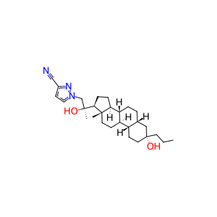 CCC[C@@]1(O)CC[C@H]2[C@H](CC[C@@H]3[C@@H]2CC[C@@]2(C)[C@H]3CC[C@@H]2[C@@](C)(O)Cn2ccc(C#N)n2)C1